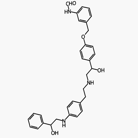 O=CNc1cccc(COc2ccc(C(O)CNCCc3ccc(NCC(O)c4ccccc4)cc3)cc2)c1